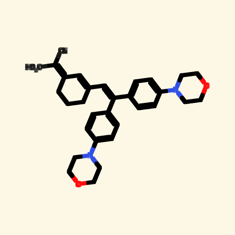 N#C/C(C(=O)O)=C1\C=C(C=C(c2ccc(N3CCOCC3)cc2)c2ccc(N3CCOCC3)cc2)CCC1